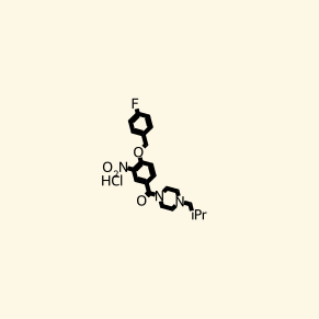 CC(C)CN1CCN(C(=O)c2ccc(OCc3ccc(F)cc3)c([N+](=O)[O-])c2)CC1.Cl